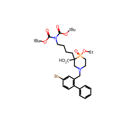 CCOP1(=O)CCN(Cc2cc(Br)ccc2-c2ccccc2)CC1(CCCCN(C(=O)OC(C)(C)C)C(=O)OC(C)(C)C)C(=O)O